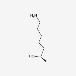 C[C@@H](O)CCCCCN